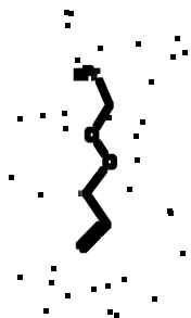 C=C[CH]OOCCCC